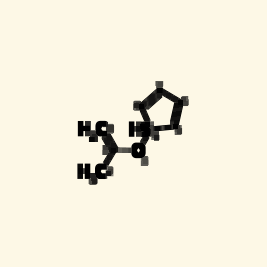 C=C(C)O[SiH]1C=CC=C1